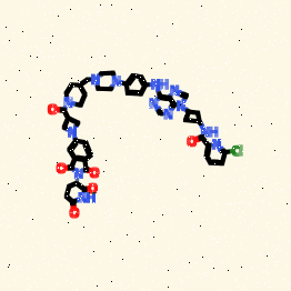 O=C1CC[C@H](N2C(=O)c3ccc(N4CC(C(=O)N5CCC(CN6CCN(c7ccc(Nc8ncnc9c8ncn9C8CC(NC(=O)c9cccc(Cl)n9)C8)cc7)CC6)CC5)C4)cc3C2=O)C(=O)N1